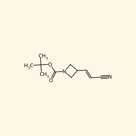 CC(C)(C)OC(=O)N1CC(C=CC#N)C1